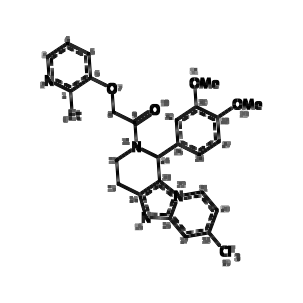 CCc1ncccc1OCC(=O)N1CCc2nc3cc(C(F)(F)F)ccn3c2C1c1ccc(OC)c(OC)c1